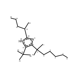 CCCCCC(C)(C)c1nc(C(C)CCC)[nH]c1C(C)(C)C